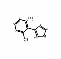 Cl.N#Cc1ccccc1-c1cc[nH]n1